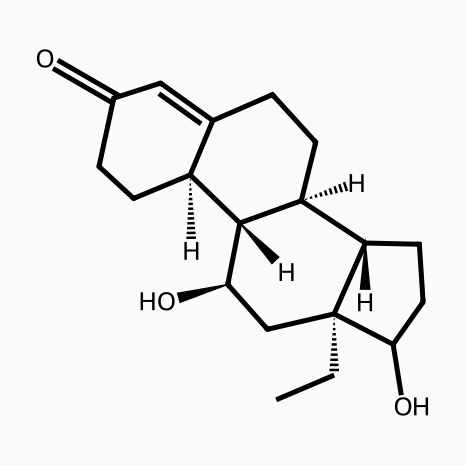 CC[C@]12C[C@@H](O)[C@H]3[C@@H](CCC4=CC(=O)CC[C@@H]43)[C@@H]1CCC2O